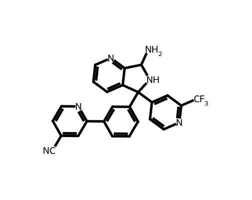 N#Cc1ccnc(-c2cccc(C3(c4ccnc(C(F)(F)F)c4)NC(N)c4ncccc43)c2)c1